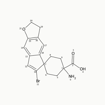 NC1(C(=O)O)CCC2(CC1)C(Br)=Cc1cc3c(cc12)CCO3